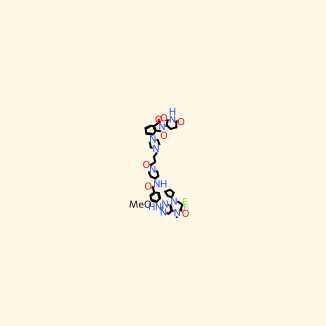 COc1cc(C(=O)NC2CCN(C(=O)CCCN3CCN(c4cccc5c4C(=O)N(C4CCC(=O)NC4=O)C5=O)CC3)CC2)ccc1Nc1ncc2c(n1)N(C1CCCC1)CC(F)(F)C(=O)N2C